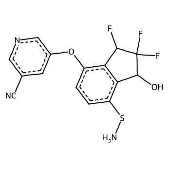 N#Cc1cncc(Oc2ccc(SN)c3c2C(F)C(F)(F)C3O)c1